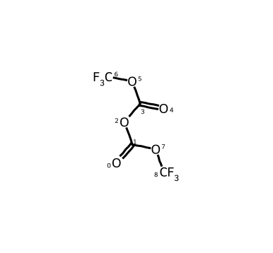 O=C(OC(=O)OC(F)(F)F)OC(F)(F)F